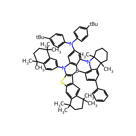 CC(C)(C)c1ccc(N(c2ccc(C(C)(C)C)cc2)c2cc3c4c(c2)N2c5c(cc(-c6ccccc6)cc5C5(C)CCCCC25C)B4c2c(sc4cc5c(cc24)C(C)(C)CCC5(C)C)N3c2ccc3c(c2)C(C)(C)CCC3(C)C)cc1